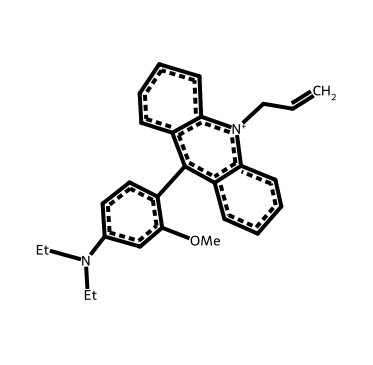 C=CC[n+]1c2ccccc2c(-c2ccc(N(CC)CC)cc2OC)c2ccccc21